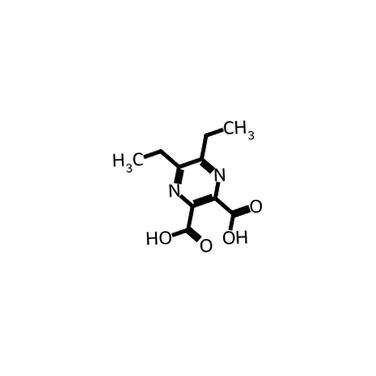 CCc1nc(C(=O)O)c(C(=O)O)nc1CC